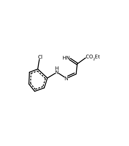 CCOC(=O)C(=N)/C=N\Nc1ccccc1Cl